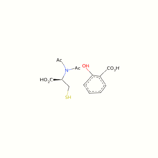 CC(=O)N(C(C)=O)[C@@H](CS)C(=O)O.O=C(O)c1ccccc1O